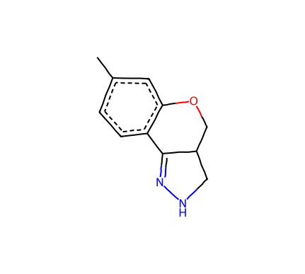 Cc1ccc2c(c1)OCC1CNN=C21